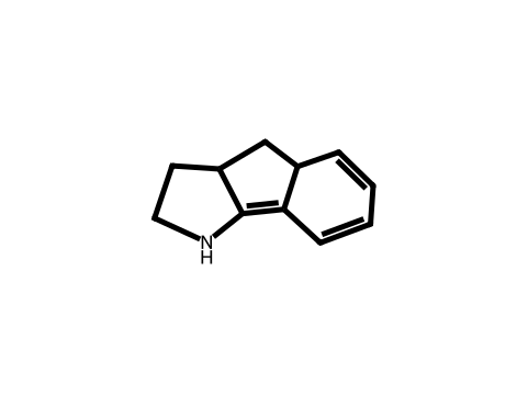 C1=CC2=C3NCCC3CC2C=C1